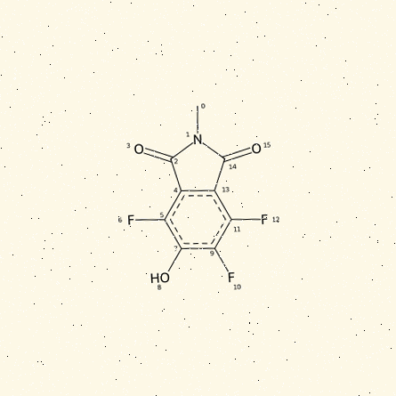 CN1C(=O)c2c(F)c(O)c(F)c(F)c2C1=O